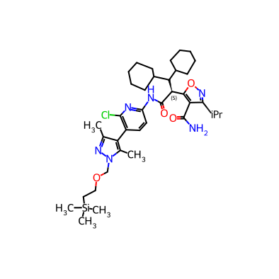 Cc1nn(COCC[Si](C)(C)C)c(C)c1-c1ccc(NC(=O)[C@H](c2onc(C(C)C)c2C(N)=O)C(C2CCCCC2)C2CCCCC2)nc1Cl